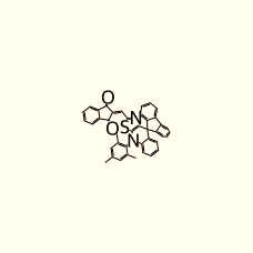 Cc1cc(C)c(N2c3ccccc3C3(c4ccccc4-c4ccccc43)c3nc(C=C4C(=O)c5ccccc5C4=O)sc32)c(C)c1